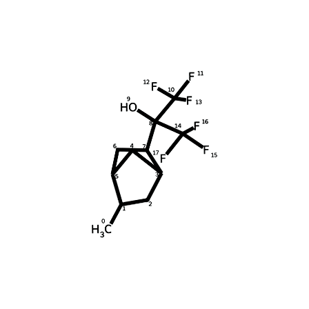 CC1CC2CC1CC2C(O)(C(F)(F)F)C(F)(F)F